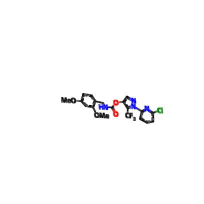 COc1ccc(CNC(=O)Oc2cnn(-c3cccc(Cl)n3)c2C(F)(F)F)c(OC)c1